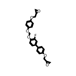 Fc1cc(-c2ccc(OCC3CO3)cc2)ccc1OCOc1ccc(OCC2CO2)cc1